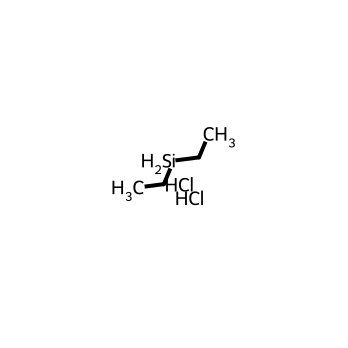 CC[SiH2]CC.Cl.Cl